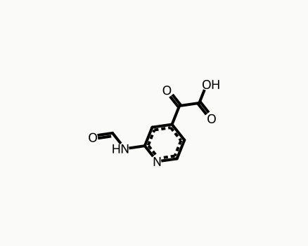 O=CNc1cc(C(=O)C(=O)O)ccn1